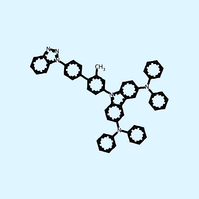 Cc1cc(-n2c3ccc(N(c4ccccc4)c4ccccc4)cc3c3cc(N(c4ccccc4)c4ccccc4)ccc32)ccc1-c1ccc(-n2nnc3ccccc32)cc1